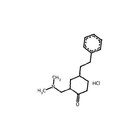 CN(C)CC1CC(CCc2ccccc2)CCC1=O.Cl